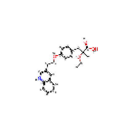 CCOC(C)(Cc1ccc(OCCc2cnc3ccccc3c2)cc1)C(=O)O